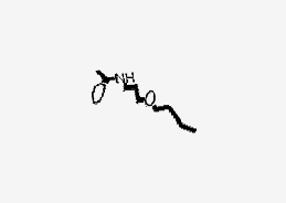 CCCCOCCCNC(C)=O